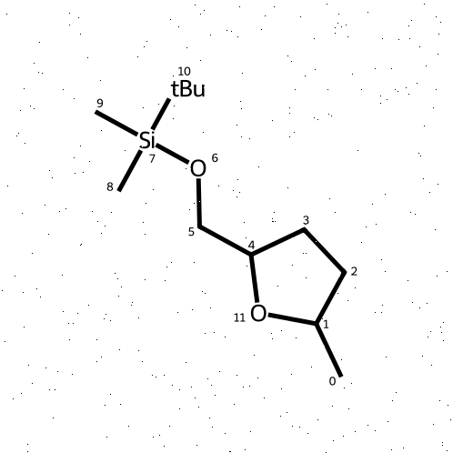 CC1CCC(CO[Si](C)(C)C(C)(C)C)O1